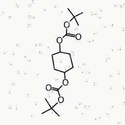 CC(C)(C)OC(=O)OC1CCC(OC(=O)OC(C)(C)C)CC1